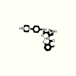 O=C(NC1CCC(N2CCNCC2)CC1)c1n[nH]cc1NC(=O)c1c(F)cccc1F